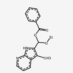 CCOC(OC(=O)c1ccccc1)c1[nH]c2ncccc2c1C=O